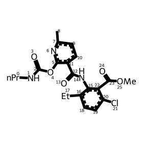 CCCNC(=O)Oc1nc(C)ccc1C(=O)Nc1c(CC)ccc(Cl)c1C(=O)OC